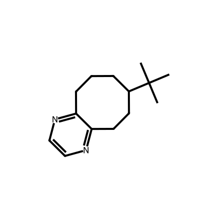 CC(C)(C)C1CCCc2nccnc2CC1